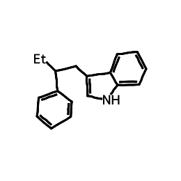 CCC(Cc1c[nH]c2ccccc12)c1ccccc1